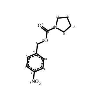 O=C(OCc1ccc([N+](=O)[O-])cc1)N1C[CH]CC1